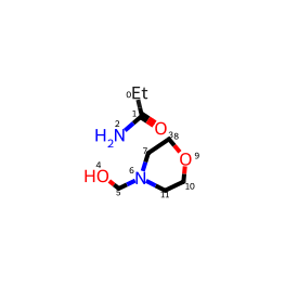 CCC(N)=O.OCN1CCOCC1